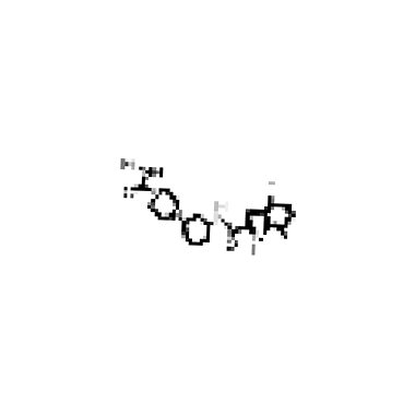 CCNC(=O)N1CCN([C@H]2CCC[C@@H](NC(=O)c3cc4c(F)ccc(C)c4[nH]3)C2)CC1